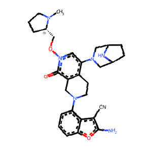 CN1CCC[C@H]1COn1cc(N2CC3CCC(C2)N3)c2c(c1=O)CN(c1cccc3oc(N)c(C#N)c13)CC2